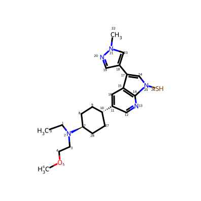 CCN(CCOC)[C@H]1CC[C@H](c2cnc3c(c2)c(-c2cnn(C)c2)cn3S)CC1